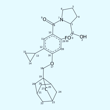 O=C(O)C1CCCN1C(=O)c1cc(C2CC2)c(OCC23CC4CC(CC2C4)C3)cc1F